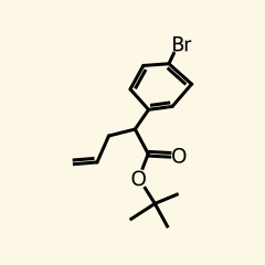 C=CCC(C(=O)OC(C)(C)C)c1ccc(Br)cc1